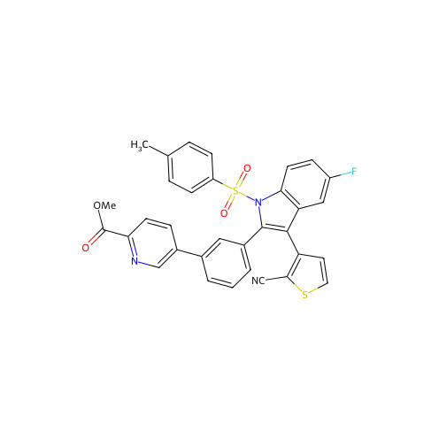 COC(=O)c1ccc(-c2cccc(-c3c(-c4ccsc4C#N)c4cc(F)ccc4n3S(=O)(=O)c3ccc(C)cc3)c2)cn1